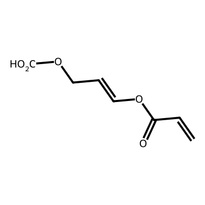 C=CC(=O)OC=CCOC(=O)O